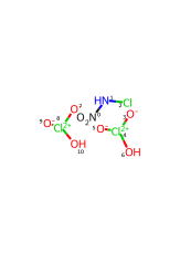 O=[N+]([O-])NCl.[O-][Cl+2]([O-])O.[O-][Cl+2]([O-])O